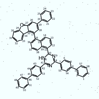 c1ccc(-c2ccc(C3=NC(c4cccc5c(-c6cc(-c7ccccc7)cc7oc8ccccc8c67)cccc45)NC(c4ccc(-c5ccccc5)cc4)=N3)cc2)cc1